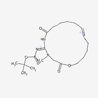 CN1CC(=O)OCCCC/C=C/CCCCC(=O)N/C1=N/C(=O)OC(C)(C)C